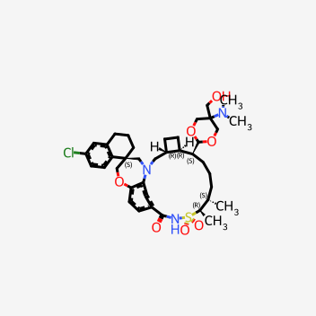 C[C@@H]1[C@@H](C)CCC[C@H](C2OCC(CO)(N(C)C)CO2)[C@@H]2CC[C@H]2CN2C[C@@]3(CCCc4cc(Cl)ccc43)COc3ccc(cc32)C(=O)NS1(=O)=O